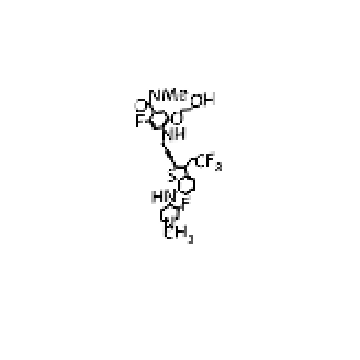 CNC(=O)c1cc(OCCO)c(NCC#Cc2sc3c(NC4CCN(C)CC4F)cccc3c2CC(F)(F)F)cc1F